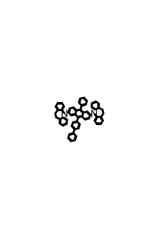 c1ccc(-c2ccc(-c3c4ccc(N5c6ccccc6CCc6ccccc65)cc4c(-c4ccccc4)c4ccc(N5c6ccccc6CCc6ccccc65)cc34)cc2)cc1